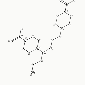 CC(=O)N1CCN(CCOC(CCO)N2CCN(C(C)=O)CC2)CC1